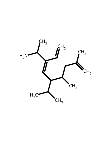 C=C/C(=C\C(C(C)C)C(C)CC(=C)C)C(C)N